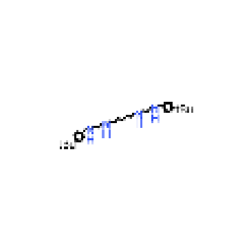 CC(C)(C)c1ccc(CNCCCNCCCCCCCNCCCNCc2ccc(C(C)(C)C)cc2)cc1